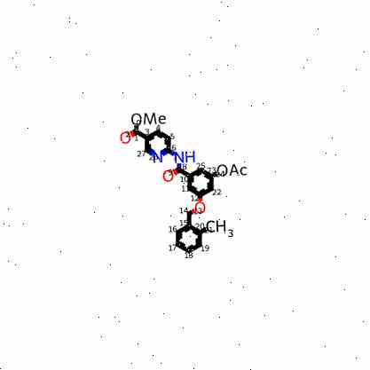 COC(=O)c1ccc(NC(=O)c2cc(OCc3ccccc3C)cc(OC(C)=O)c2)nc1